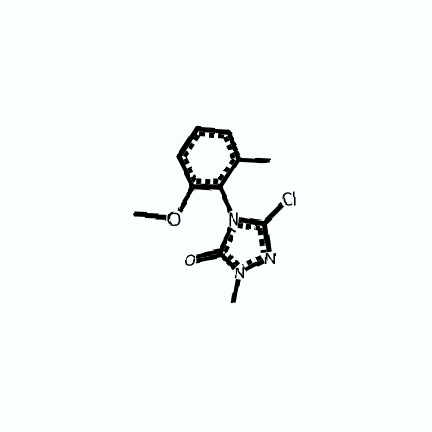 COc1cccc(C)c1-n1c(Cl)nn(C)c1=O